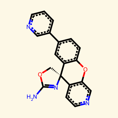 NC1=N[C@]2(CO1)c1ccncc1Oc1ccc(-c3cccnc3)cc12